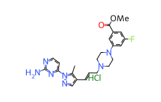 COC(=O)c1cc(F)cc(N2CCN(C/C=C/c3cnn(-c4ccnc(N)n4)c3C)CC2)c1.Cl